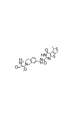 CO/C(=C(/N)C=O)N1CCc2ccc(CNC(=O)c3nc4sc5c(c4c(=O)[nH]3)C(C)SC5)cc2C1